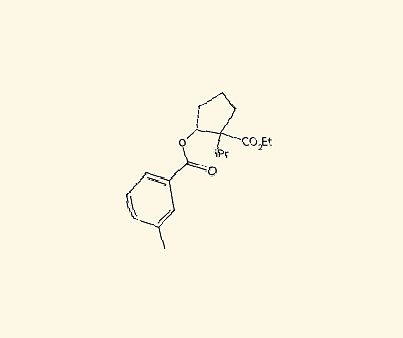 CCOC(=O)C1(C(C)C)CCCC1OC(=O)c1cccc(C)c1